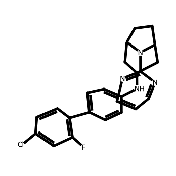 Fc1cc(Cl)ccc1-c1ccc(NC2CC3CCC(C2)N3c2ncccn2)cc1